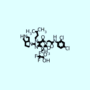 CC(C)CCn1c(N2CCC3CNCC32)nc2c1c(=O)n(CC(=O)Nc1ccc(Cl)cc1Cl)c(=O)n2C.O=C(O)C(F)(F)F